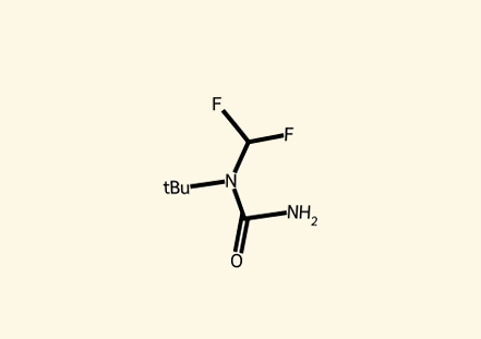 CC(C)(C)N(C(N)=O)C(F)F